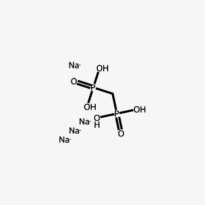 O=P(O)(O)CP(=O)(O)O.[Na].[Na].[Na].[Na]